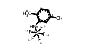 Cc1ccc(Cl)cc1NS(F)(F)(F)(F)F